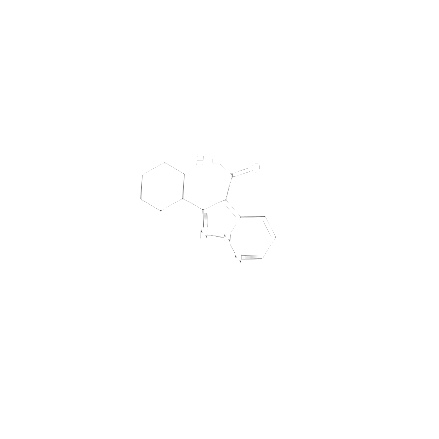 CC(=O)c1c(C2CCCCC2)nn2ncccc12